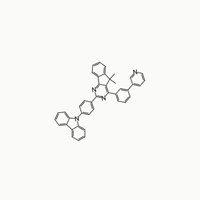 CC1(C)c2ccccc2-c2nc(-c3ccc(-n4c5ccccc5c5ccccc54)cc3)nc(-c3cccc(-c4cccnc4)c3)c21